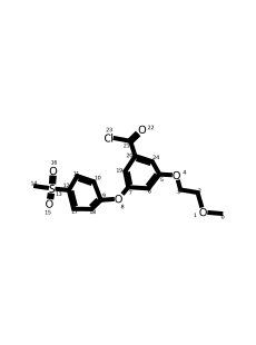 COCCOc1cc(Oc2ccc(S(C)(=O)=O)cc2)cc(C(=O)Cl)c1